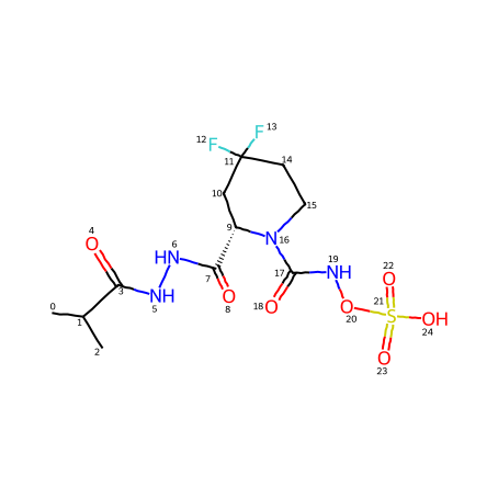 CC(C)C(=O)NNC(=O)[C@@H]1CC(F)(F)CCN1C(=O)NOS(=O)(=O)O